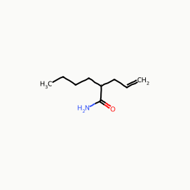 C=CC[C](CCCC)C(N)=O